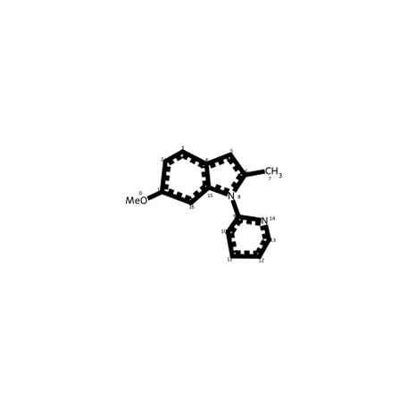 COc1ccc2cc(C)n(-c3ccccn3)c2c1